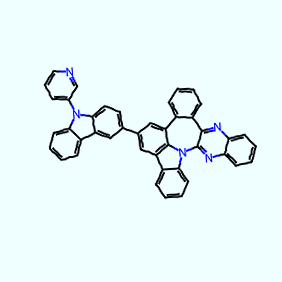 c1cncc(-n2c3ccccc3c3cc(-c4cc5c6c(c4)c4ccccc4n6-c4nc6ccccc6nc4-c4ccccc4-5)ccc32)c1